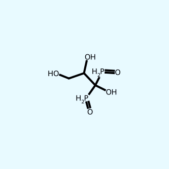 O=[PH2]C(O)([PH2]=O)C(O)CO